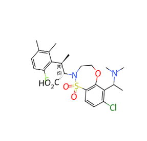 Cc1ccc(F)c([C@@H](C)[C@@H](C(=O)O)N2CCOc3c(ccc(Cl)c3C(C)N(C)C)S2(=O)=O)c1C